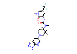 CN(C(=O)Nc1cc(C(F)(F)F)cn(C)c1=O)[C@@H]1CCN(c2cnc3[nH]ncc3c2)CC1(C)C